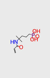 C=CC(=O)NC(C)(C)CCCP(=O)(O)O